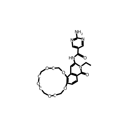 CCn1c(NC(=O)c2cnc(N)nc2)cc2c3c(ccc2c1=O)OCCOCCOCCOCCO3